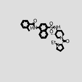 CCN1CCC[C@H]1C(=O)N1CC[C@H](NS(=O)(=O)c2ccc(NC(=O)c3ccccc3C)c3ccccc23)[C@@H](C)C1